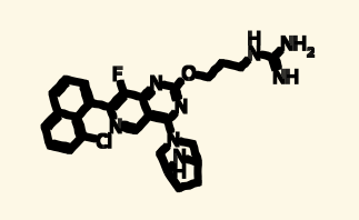 N=C(N)NCCCOc1nc(N2CC3CCC(C2)N3)c2cnc(-c3cccc4cccc(Cl)c34)c(F)c2n1